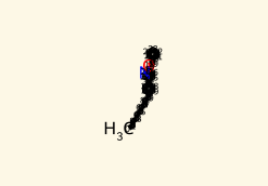 CCCCCCCCCCc1ccc(-c2ccc(OCc3ccccc3)nc2)cc1